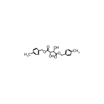 Cc1ccc(COC(=O)[C@H](O)[C@@H](O)C(=O)OCc2ccc(C)cc2)cc1